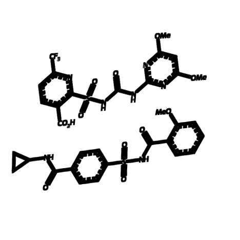 COc1cc(OC)nc(NC(=O)NS(=O)(=O)c2nc(C(F)(F)F)ccc2C(=O)O)n1.COc1ccccc1C(=O)NS(=O)(=O)c1ccc(C(=O)NC2CC2)cc1